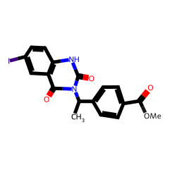 COC(=O)c1ccc(C(C)n2c(=O)[nH]c3ccc(I)cc3c2=O)cc1